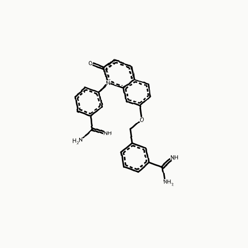 N=C(N)c1cccc(COc2ccc3ccc(=O)n(-c4cccc(C(=N)N)c4)c3c2)c1